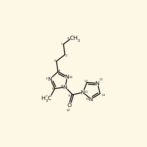 CCCCc1nc(C)n(C(=O)n2cncn2)n1